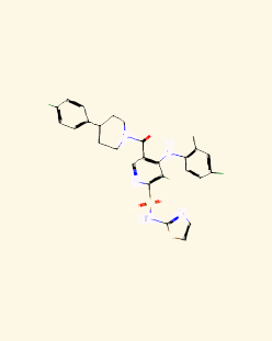 Cc1cc(F)ccc1Nc1c(C(=O)N2CCC(c3ccc(F)cc3)CC2)cnc(S(=O)(=O)Nc2nccs2)c1Cl